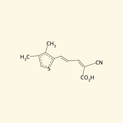 Cc1csc(C=CC=C(C#N)C(=O)O)c1C